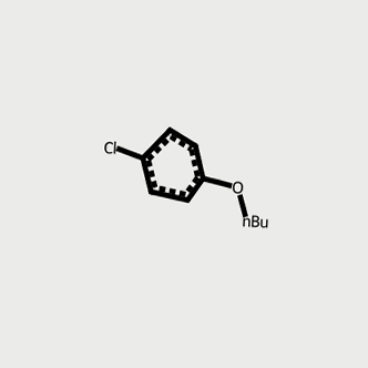 CCCCOc1ccc(Cl)cc1